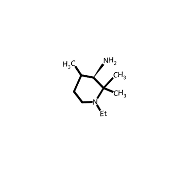 CCN1CCC(C)[C@@H](N)C1(C)C